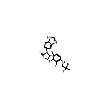 CC(F)(F)COC1=C(F)C(F)C(C)([C@H]2COC(=O)N2c2ccc3[nH]cnc3c2)C=C1